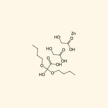 CCCCOC(O)(OCCCC)C(=O)O.O=C(O)CO.O=C(O)CO.[Zn]